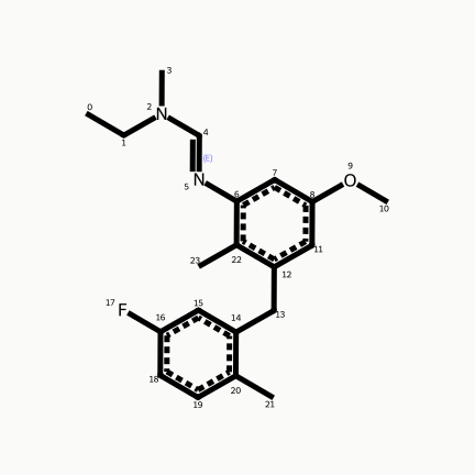 CCN(C)/C=N/c1cc(OC)cc(Cc2cc(F)ccc2C)c1C